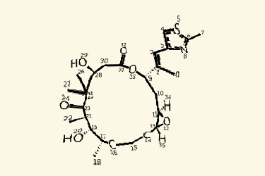 C/C(=C\c1csc(C)n1)[C@@H]1C[C@H]2O[C@@H]2CCC[C@H](C)[C@H](O)[C@@H](C)C(=O)C(C)(C)[C@@H](O)CC(=O)O1